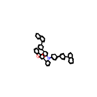 c1c(-c2ccccc2N(C2=CC=C(c3ccc(-c4cccc5ccccc45)cc3)CC2)c2ccc(-c3cccc(-c4cccc5ccccc45)c3)cc2)cc2oc3ccccc3c2c#1